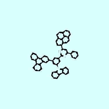 c1ccc(-c2cc(-c3ccc4ccc5cccc6ccc3c4c56)nc(-c3cc(-c4ccc5c6ccccc6c6ccccc6c5c4)cc(-n4c5ccccc5c5ccccc54)c3)n2)cc1